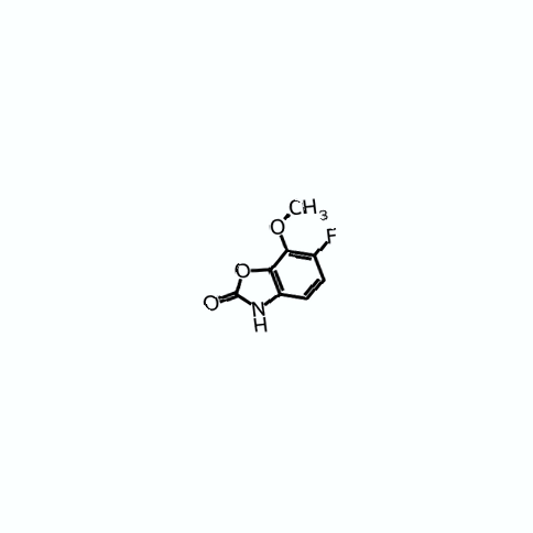 COc1c(F)ccc2[nH]c(=O)oc12